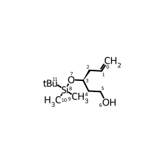 C=CC[C@@H](CCO)O[Si](C)(C)C(C)(C)C